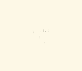 F.O.[La].[NaH]